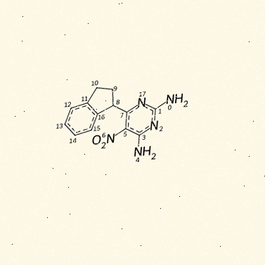 Nc1nc(N)c([N+](=O)[O-])c(C2CCc3ccccc32)n1